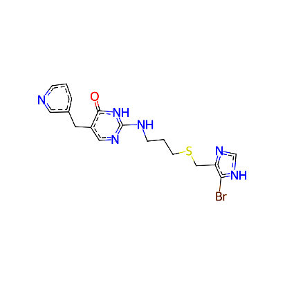 O=c1[nH]c(NCCCSCc2nc[nH]c2Br)ncc1Cc1cccnc1